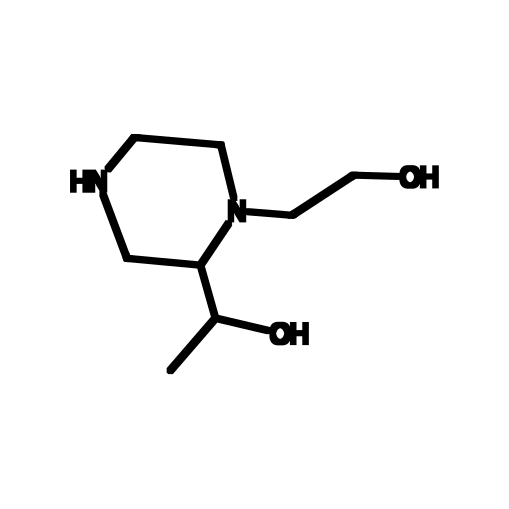 CC(O)C1CNCCN1CCO